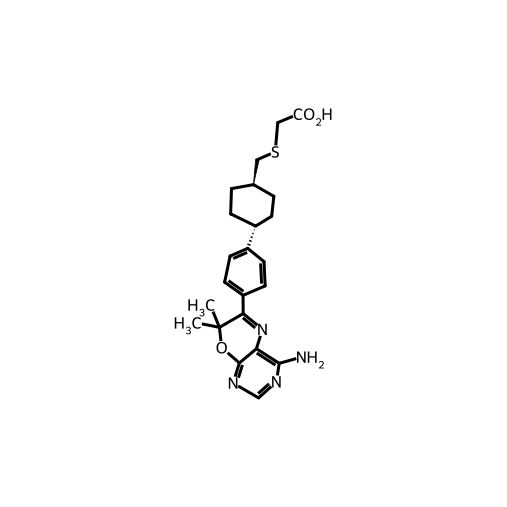 CC1(C)Oc2ncnc(N)c2N=C1c1ccc([C@H]2CC[C@H](CSCC(=O)O)CC2)cc1